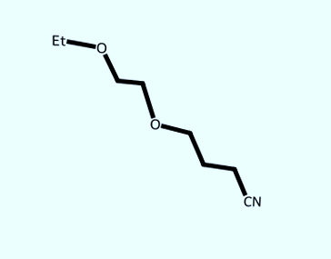 CCOCCOCCCC#N